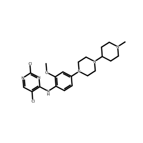 COc1cc(N2CCN(C3CCN(C)CC3)CC2)ccc1Nc1nc(Cl)ncc1Cl